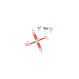 O=S(=O)([O-])O.[Cl-].[Li+].[Na+]